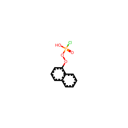 O=P(O)(Cl)OOc1cccc2ccccc12